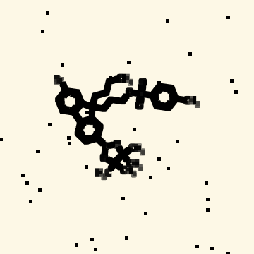 CCCCC1(CCCOS(=O)(=O)c2ccc(C)cc2)c2cc(Br)ccc2-c2ccc(B3OC(C)(C)C(C)(C)O3)cc21